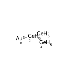 [Au+3].[GeH5-].[GeH5-].[GeH5-]